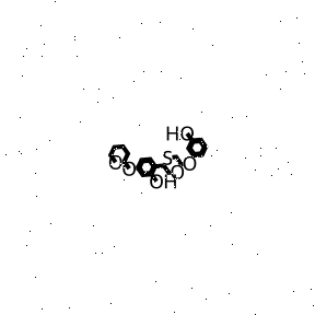 Oc1cccc(OC2CSC(c3ccc(OC4CCCCO4)cc3O)CO2)c1